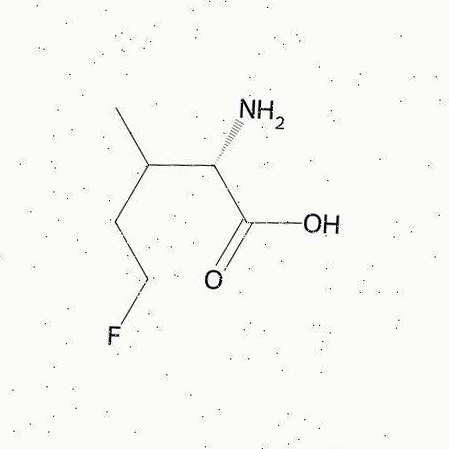 CC(CCF)[C@H](N)C(=O)O